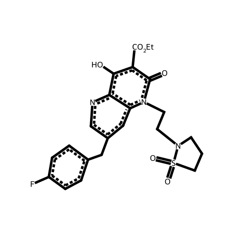 CCOC(=O)c1c(O)c2ncc(Cc3ccc(F)cc3)cc2n(CCN2CCCS2(=O)=O)c1=O